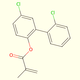 C=C(C)C(=O)Oc1ccc(Cl)cc1-c1ccccc1Cl